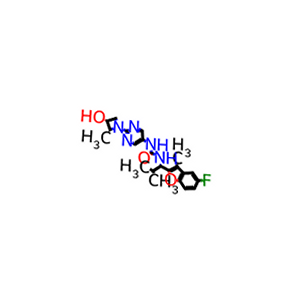 Cc1c([C@@H](NC(=O)Nc2cnc(N3C[C@H](O)[C@H]3C)nc2)C(C)C)oc2ccc(F)cc12